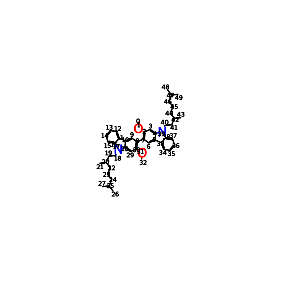 COc1cc2c(cc1-c1cc3c4ccccc4n(CCC(C)CCCC(C)C)c3cc1OC)c1ccccc1n2CCC(C)CCCC(C)C